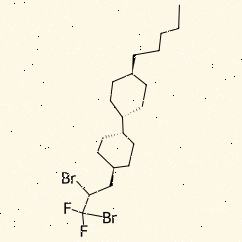 CCCCC[C@H]1CC[C@H]([C@H]2CC[C@H](CC(Br)C(F)(F)Br)CC2)CC1